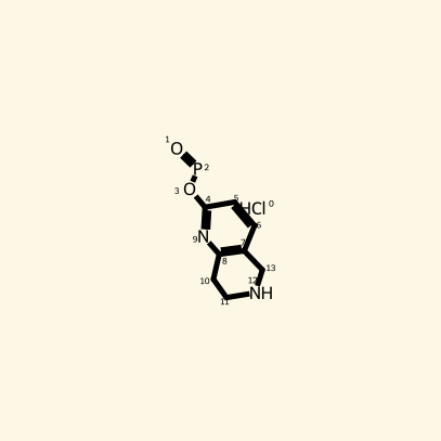 Cl.O=POc1ccc2c(n1)CCNC2